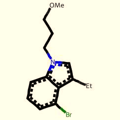 CCc1cn(CCCOC)c2cccc(Br)c12